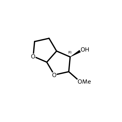 COC1OC2OCCC2[C@H]1O